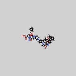 CCn1c(-c2cccnc2C(C)OC)c(CC(C)(C)CO[Si](c2ccccc2)(c2ccccc2)C(C)(C)C)c2cc(N3CCC[C@@H](CC(NC(=O)OCc4ccccc4)C(=O)N4CCC[C@@H](C(=O)O)N4)C3)ccc21